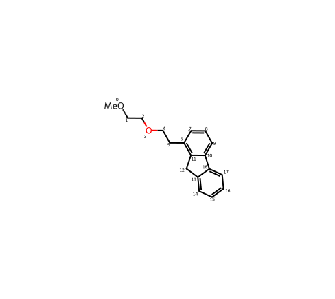 COCCOCCc1[c]ccc2c1Cc1c[c]ccc1-2